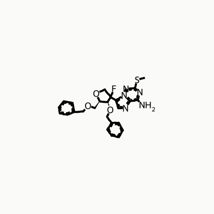 CSc1nc(N)c2ncc(C3(F)CO[C@H](COCc4ccccc4)[C@H]3OCc3ccccc3)n2n1